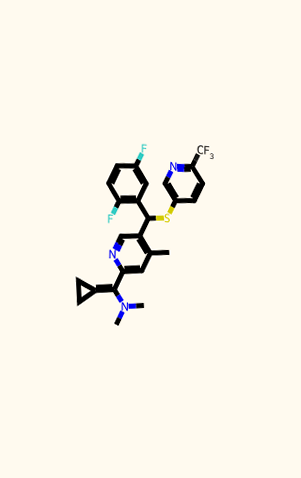 Cc1cc(C(=C2CC2)N(C)C)ncc1C(Sc1ccc(C(F)(F)F)nc1)c1cc(F)ccc1F